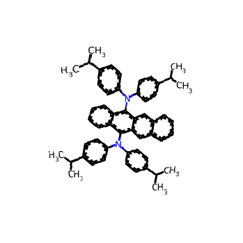 CC(C)c1ccc(N(c2ccc(C(C)C)cc2)c2c3ccccc3c(N(c3ccc(C(C)C)cc3)c3ccc(C(C)C)cc3)c3cc4ccccc4cc23)cc1